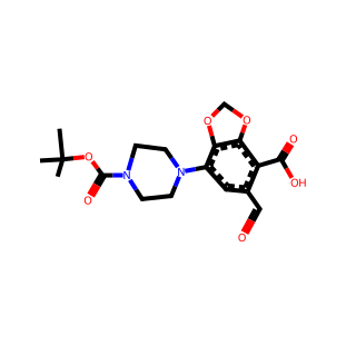 CC(C)(C)OC(=O)N1CCN(c2cc(C=O)c(C(=O)O)c3c2OCO3)CC1